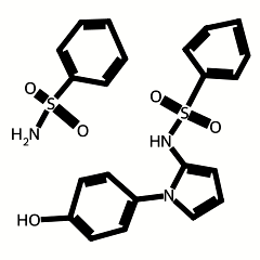 NS(=O)(=O)c1ccccc1.O=S(=O)(Nc1cccn1-c1ccc(O)cc1)c1ccccc1